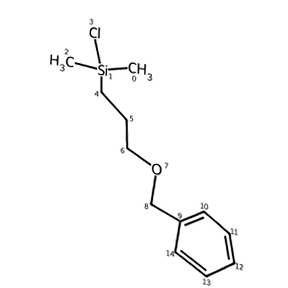 C[Si](C)(Cl)CCCOCc1ccccc1